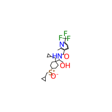 Cc1nc(C(F)(F)F)ccc1C(=O)NC(CO)C1(CC2CC2)CCC([S+]([O-])CC2CC2)CC1